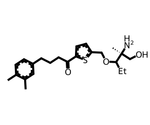 CCC(OCc1ccc(C(=O)CCCc2ccc(C)c(C)c2)s1)[C@@](C)(N)CO